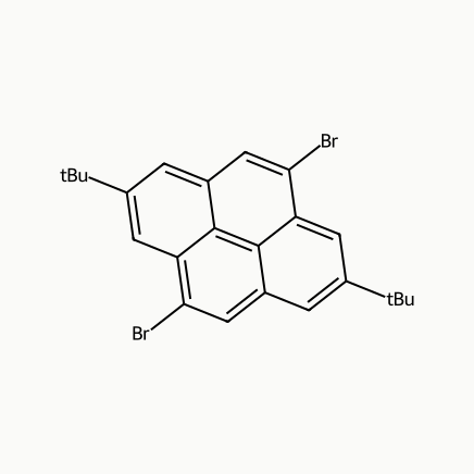 CC(C)(C)c1cc2cc(Br)c3cc(C(C)(C)C)cc4cc(Br)c(c1)c2c43